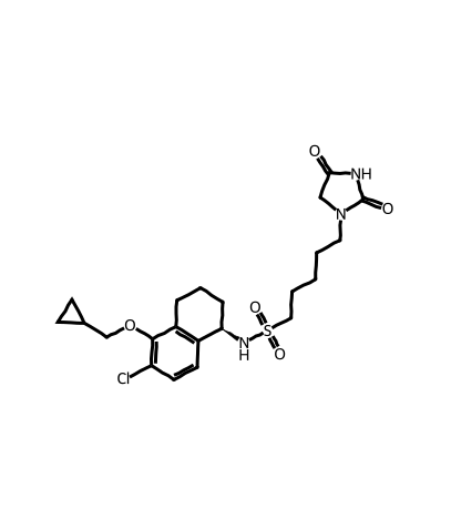 O=C1CN(CCCCCS(=O)(=O)N[C@@H]2CCCc3c2ccc(Cl)c3OCC2CC2)C(=O)N1